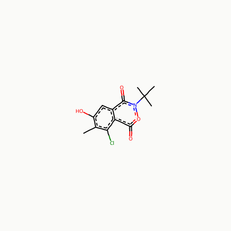 Cc1c(O)cc2c(=O)n(C(C)(C)C)oc(=O)c2c1Cl